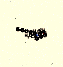 CC1(C)c2ccccc2-c2ccc(N(c3ccc4c(c3)C(C)(C)c3cc(-c5ccc(-c6ccc(-c7ccccc7)cc6)cc5)ccc3-4)c3ccccc3-c3ccc(-c4ccccc4)cc3)cc21